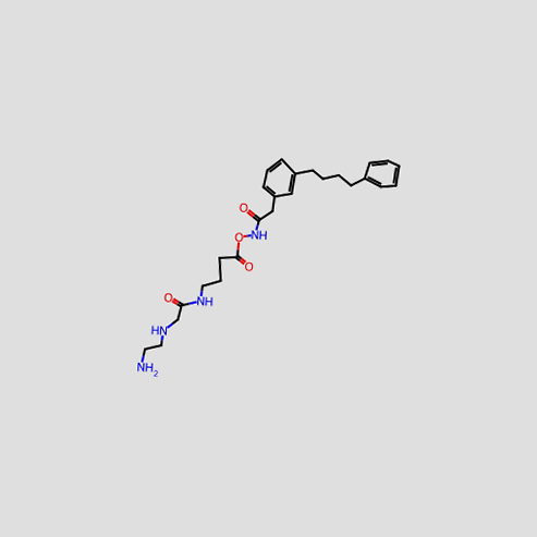 NCCNCC(=O)NCCCC(=O)ONC(=O)Cc1cccc(CCCCc2ccccc2)c1